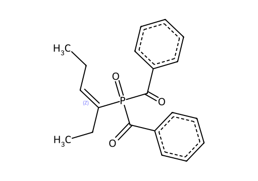 CC/C=C(/CC)P(=O)(C(=O)c1ccccc1)C(=O)c1ccccc1